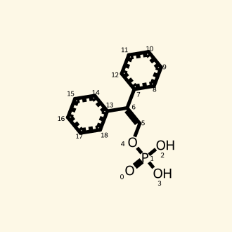 O=P(O)(O)OC=C(c1ccccc1)c1ccccc1